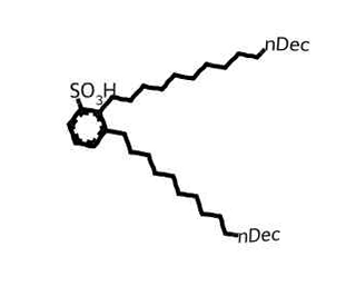 CCCCCCCCCCCCCCCCCCCCc1cccc(S(=O)(=O)O)c1CCCCCCCCCCCCCCCCCCCC